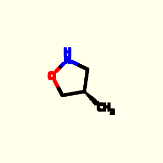 C[C@H]1CNOC1